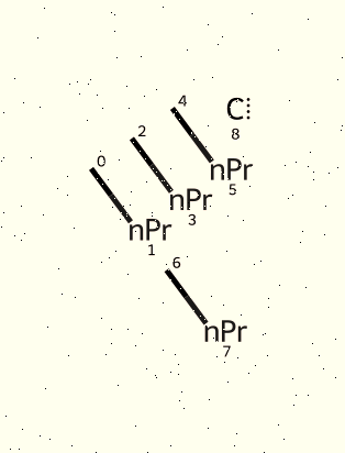 CCCC.CCCC.CCCC.CCCC.[C]